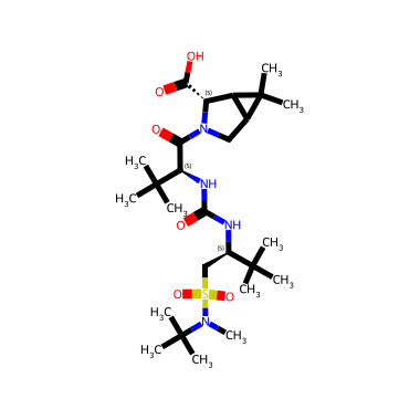 CN(C(C)(C)C)S(=O)(=O)C[C@@H](NC(=O)N[C@H](C(=O)N1CC2C([C@H]1C(=O)O)C2(C)C)C(C)(C)C)C(C)(C)C